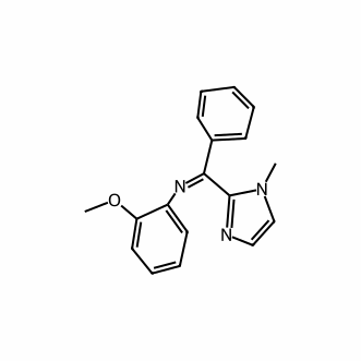 COc1ccccc1N=C(c1ccccc1)c1nccn1C